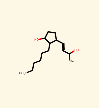 CCCCCC(O)C=CC1CCC(O)C1CCCCCC(=O)O